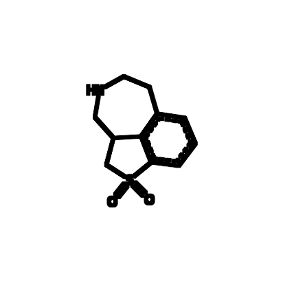 O=S1(=O)CC2CNCCc3cccc1c32